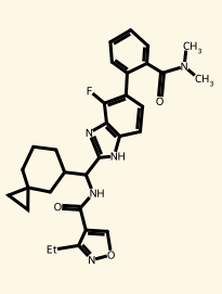 CCc1nocc1C(=O)NC(c1nc2c(F)c(-c3ccccc3C(=O)N(C)C)ccc2[nH]1)C1CCCC2(CC2)C1